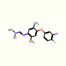 CCCN(/C=N/c1cc(C)c(Oc2ccc(F)c(I)c2)cc1C)CC